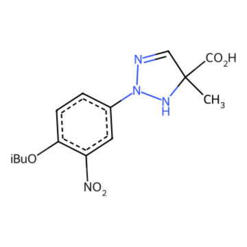 CC(C)COc1ccc(N2N=CC(C)(C(=O)O)N2)cc1[N+](=O)[O-]